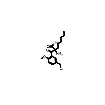 CCCCCCC(N)(C(=O)O)C(=O)c1cc(CCl)ccc1OC